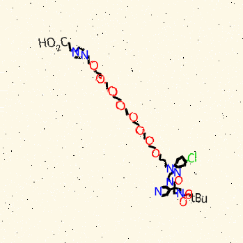 CC(C)(C)OC(=O)N1CC2(C1)C(=O)N(Cc1nc3cc(Cl)ccc3n1CCCCOCCOCCOCCOCCOCCOCCOCCOCCN1CCN(CCC(=O)O)CC1)c1cnccc12